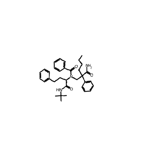 CCCCC(CN(C(=O)c1ccccc1)C(CCc1ccccc1)C(=O)NC(C)(C)C)(C(N)=O)c1ccccc1